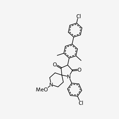 CON1CCC2(CC1)C(=O)C(c1c(C)cc(-c3ccc(Cl)cc3)cc1C)C(=O)N2c1ccc(Cl)cc1